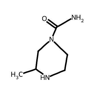 CC1CN(C(N)=O)CCN1